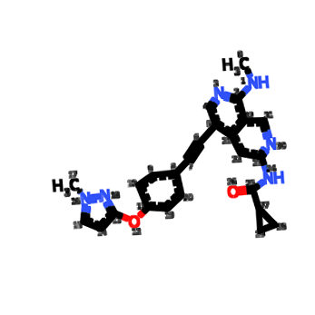 CNc1ncc(C#Cc2ccc(Oc3ccn(C)n3)cc2)c2cc(NC(=O)C3CC3)ncc12